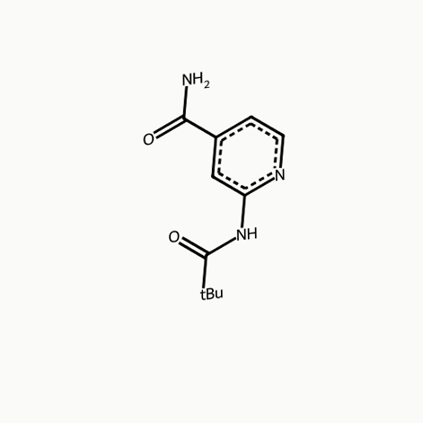 CC(C)(C)C(=O)Nc1cc(C(N)=O)ccn1